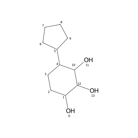 OC1CCC(C2CCCC2)C(O)C1O